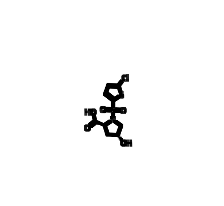 O=C(O)[C@@H]1C[C@@H](O)CN1S(=O)(=O)c1ccc(Cl)s1